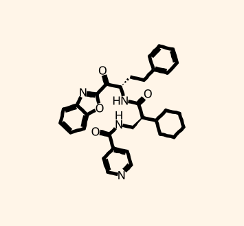 O=C(NC[C@@H](C(=O)N[C@@H](CCc1ccccc1)C(=O)c1nc2ccccc2o1)C1CCCCC1)c1ccncc1